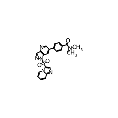 CN(C)C(=O)c1ccc(-c2cnc3cnn(S(=O)(=O)c4cnc5ccccn45)c3c2)cc1